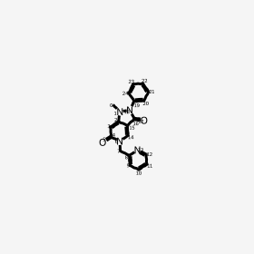 Cn1c2cc(=O)n(Cc3ccccn3)cc2c(=O)n1-c1ccccc1